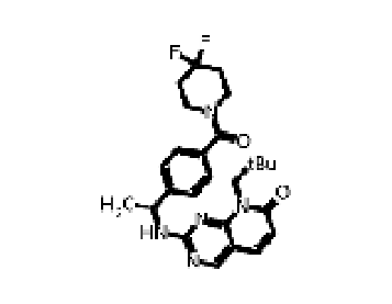 C[C@H](Nc1ncc2ccc(=O)n(CC(C)(C)C)c2n1)c1ccc(C(=O)N2CCC(F)(F)CC2)cc1